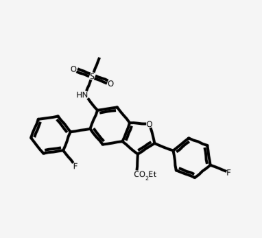 CCOC(=O)c1c(-c2ccc(F)cc2)oc2cc(NS(C)(=O)=O)c(-c3ccccc3F)cc12